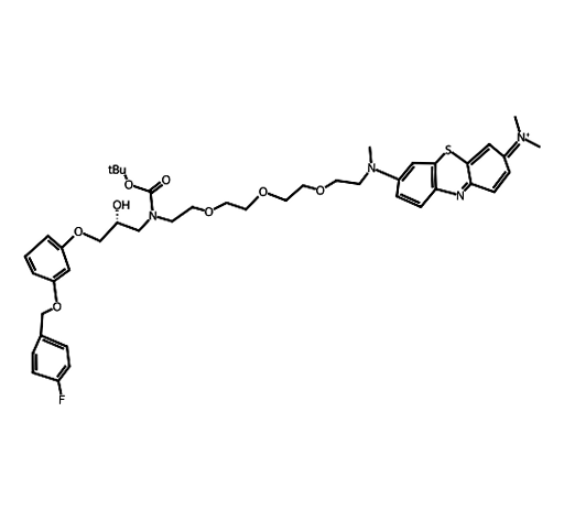 CN(CCOCCOCCOCCN(C[C@@H](O)COc1cccc(OCc2ccc(F)cc2)c1)C(=O)OC(C)(C)C)c1ccc2nc3ccc(=[N+](C)C)cc-3sc2c1